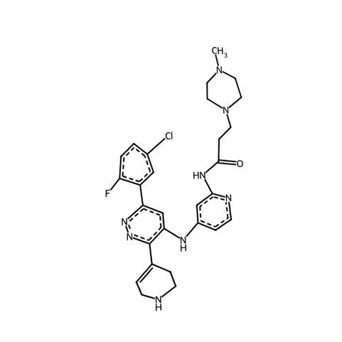 CN1CCN(CCC(=O)Nc2cc(Nc3cc(-c4cc(Cl)ccc4F)nnc3C3=CCNCC3)ccn2)CC1